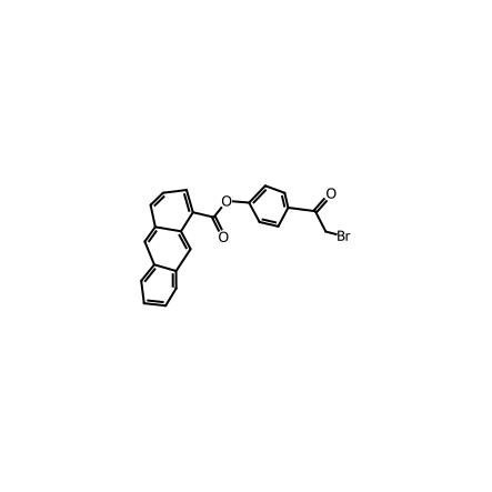 O=C(CBr)c1ccc(OC(=O)c2cccc3cc4ccccc4cc23)cc1